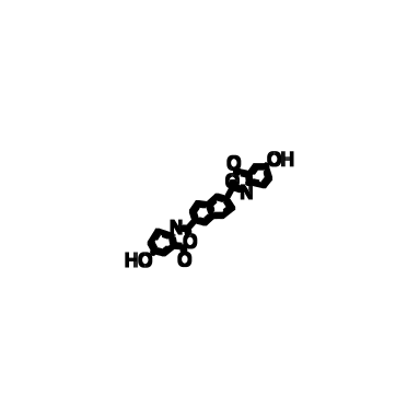 O=c1oc(-c2ccc3cc(-c4nc5ccc(O)cc5c(=O)o4)ccc3c2)nc2ccc(O)cc12